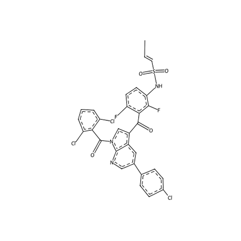 CC=CS(=O)(=O)Nc1ccc(F)c(C(=O)c2cn(C(=O)c3c(Cl)cccc3Cl)c3ncc(-c4ccc(Cl)cc4)cc23)c1F